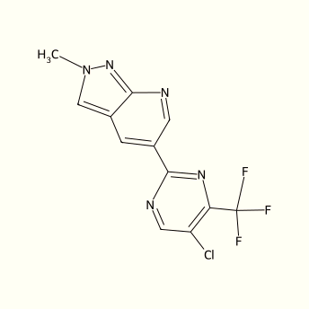 Cn1cc2cc(-c3ncc(Cl)c(C(F)(F)F)n3)cnc2n1